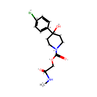 CNC(=O)COC(=O)N1CCC(O)(c2ccc(Br)cc2)CC1